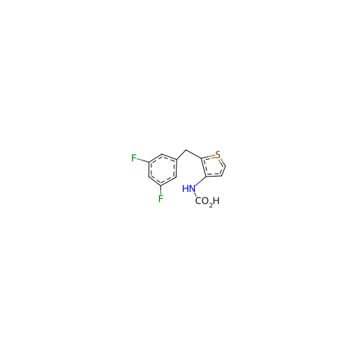 O=C(O)Nc1ccsc1Cc1cc(F)cc(F)c1